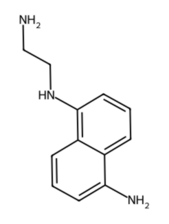 NCCNc1cccc2c(N)cccc12